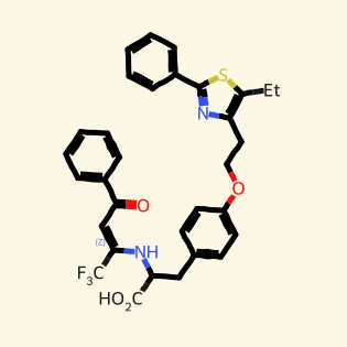 CCc1sc(-c2ccccc2)nc1CCOc1ccc(CC(N/C(=C\C(=O)c2ccccc2)C(F)(F)F)C(=O)O)cc1